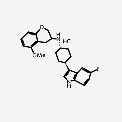 COc1cccc2c1CC(N[C@H]1CC[C@H](c3c[nH]c4ccc(F)cc43)CC1)CO2.Cl